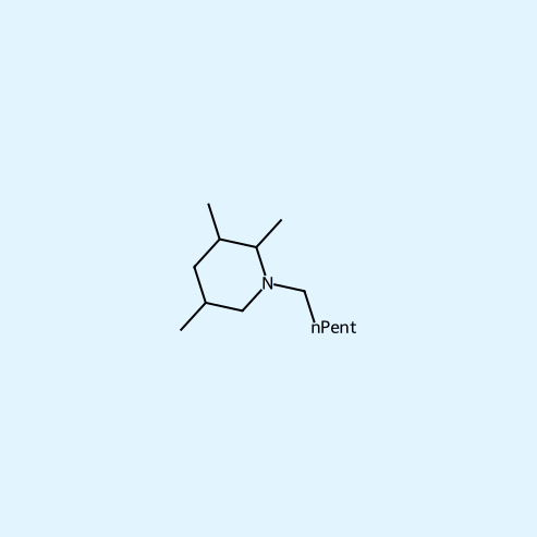 CCCCCCN1CC(C)CC(C)C1C